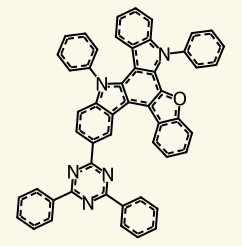 c1ccc(-c2nc(-c3ccccc3)nc(-c3ccc4c(c3)c3c5c6ccccc6oc5c5c(c6ccccc6n5-c5ccccc5)c3n4-c3ccccc3)n2)cc1